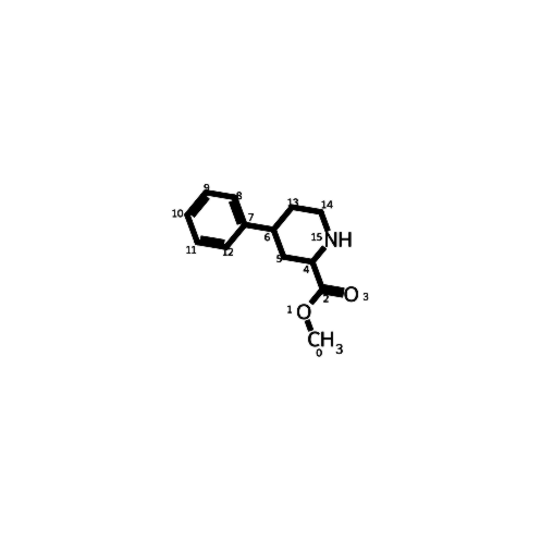 COC(=O)C1CC(c2ccccc2)CCN1